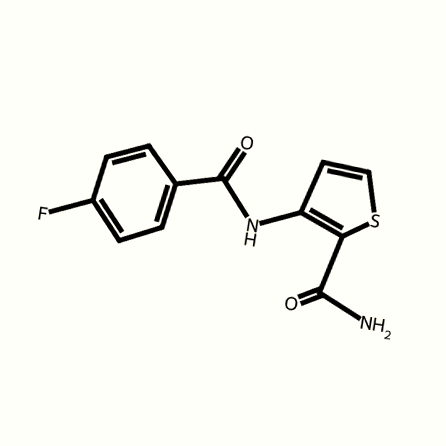 NC(=O)c1sccc1NC(=O)c1ccc(F)cc1